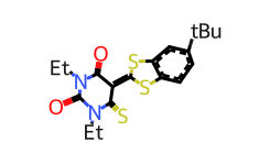 CCN1C(=O)/C(=C2/Sc3ccc(C(C)(C)C)cc3S2)C(=S)N(CC)C1=O